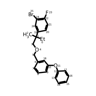 CCC(C)(COCc1cccc(Oc2ccccc2)c1)c1ccc(F)c(Br)c1